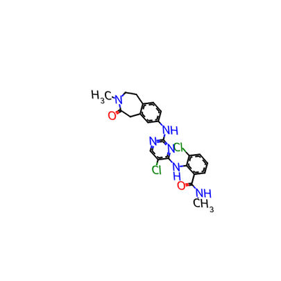 CNC(=O)c1cccc(Cl)c1Nc1nc(Nc2ccc3c(c2)CC(=O)N(C)CC3)ncc1Cl